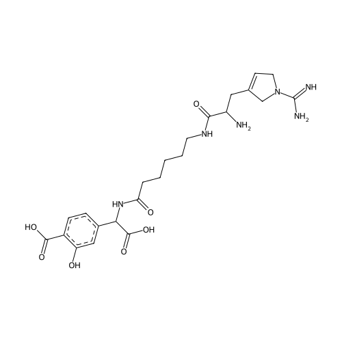 N=C(N)N1CC=C(CC(N)C(=O)NCCCCCC(=O)NC(C(=O)O)c2ccc(C(=O)O)c(O)c2)C1